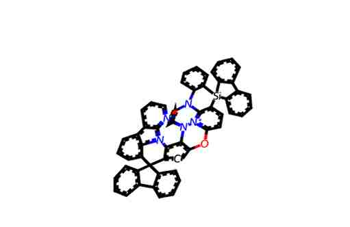 c1ccc2c(c1)-c1ccccc1C21c2ccc3c4c2-n2c5c1cccc5c1ccc[n+](c12)[N+]41c2ccccc2N2c4ccccc4[Si]4(c5ccccc5-c5ccccc54)c4ccc([n+]1c42)O3